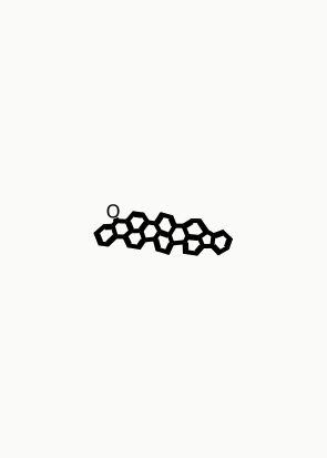 O=C1c2ccccc2-c2ccc3c4ccc5c6ccc7c8c(ccc(c9ccc(c%10ccc1c2c%103)c4c95)c86)-c1ccccc1-7